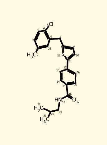 Cc1ccc(Cl)c(Cc2ccc(-c3ccc(C(=O)NCC(C)C)cc3)s2)c1